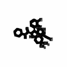 CC1(C)CCC2(CC1)N[C@@H](C(=O)NC1CCCCC1)[C@H](c1cccc(Cl)c1F)[C@]21C(=O)Nc2nc(Cl)ccc21